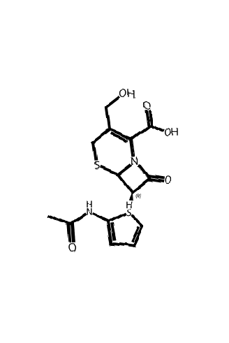 CC(=O)NC1=CC=C[SH]1[C@@H]1C(=O)N2C(C(=O)O)=C(CO)CSC12